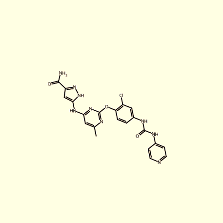 Cc1cc(Nc2cc(C(N)=O)n[nH]2)nc(Oc2ccc(NC(=O)Nc3ccncc3)cc2Cl)n1